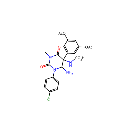 CC(=O)Oc1cc(OC(C)=O)cc(C2(NC(=O)O)C(=O)N(C)C(=O)N(c3ccc(Cl)cc3)C2N)c1